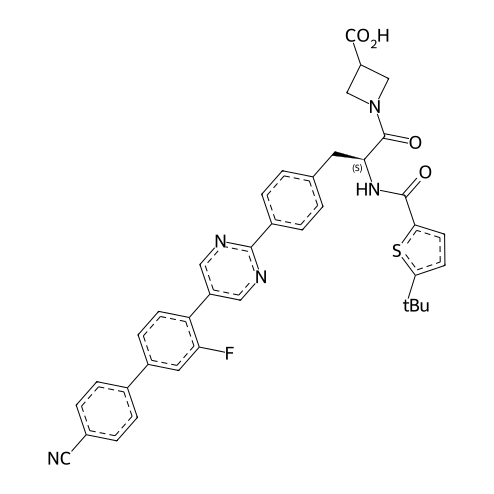 CC(C)(C)c1ccc(C(=O)N[C@@H](Cc2ccc(-c3ncc(-c4ccc(-c5ccc(C#N)cc5)cc4F)cn3)cc2)C(=O)N2CC(C(=O)O)C2)s1